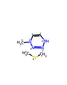 CN1C=CNN=N1.CSC